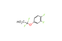 O=C(O)C(F)(F)Oc1ccc(F)c(F)c1